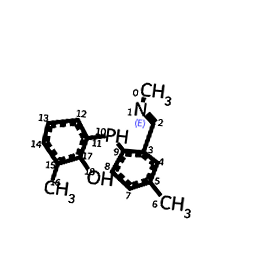 C/N=C/c1cc(C)ccc1Pc1cccc(C)c1O